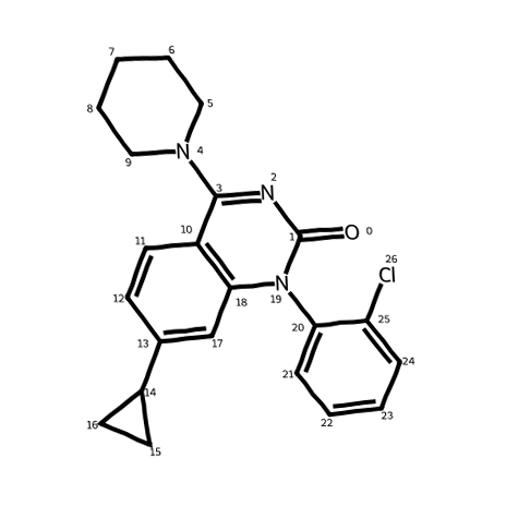 O=c1nc(N2CCCCC2)c2ccc(C3CC3)cc2n1-c1ccccc1Cl